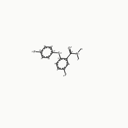 CN(C)C(=O)c1cc(F)ccc1Sc1ccc(F)cc1